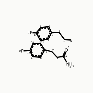 CCCc1ccc(F)cc1.NC(=O)CCc1ccc(F)cc1